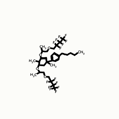 CCCCCc1ccc(C2(C)C=C(OC(C)COCC(F)(F)C(F)(F)C(F)(F)F)C(C)C(OC(C)COCC(F)(F)C(F)(F)C(F)(F)F)C2)cc1